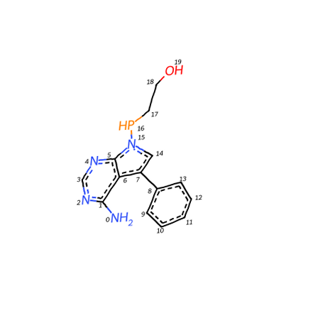 Nc1ncnc2c1c(-c1ccccc1)cn2PCCO